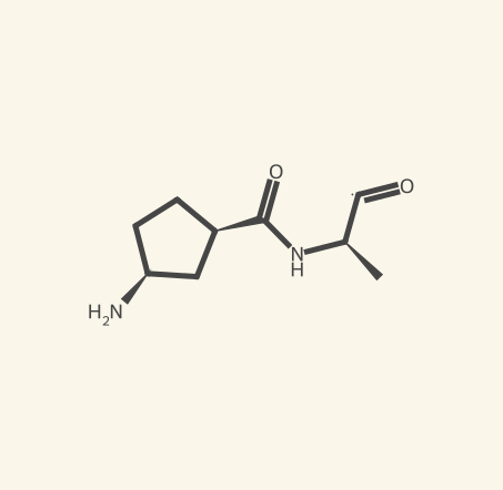 C[C@H]([C]=O)NC(=O)[C@@H]1CC[C@H](N)C1